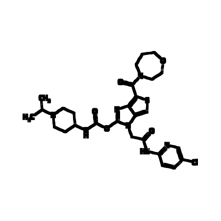 CC(C)N1CCC(NC(=O)Oc2nc3c(C(=O)N4CCCOCC4)scc3n2CC(=O)Nc2ccc(Cl)cn2)CC1